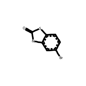 O=C1[N]c2cc(Br)ccc2S1